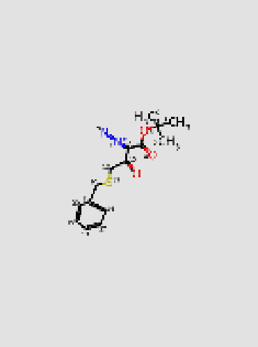 CC(C)(C)OC(=O)C(=[N+]=[N-])C(=O)CSCc1ccccc1